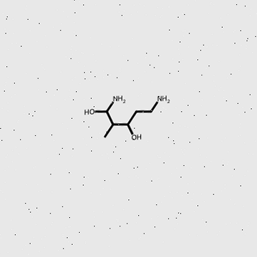 CC(C(N)O)C(O)CCN